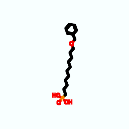 O=P(O)(O)CCCCCCCCCCCOCc1ccccc1